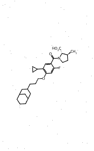 C[C@H]1CCN(C(=O)c2cc(C3CC3)c(OCCCC3CC4CCCC(C3)C4)cc2F)[C@@H]1C(=O)O